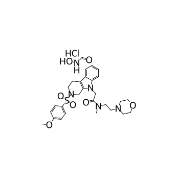 COc1ccc(S(=O)(=O)N2CCc3c(n(CC(=O)N(C)CCN4CCOCC4)c4ccccc34)C2)cc1.Cl.O=CNO